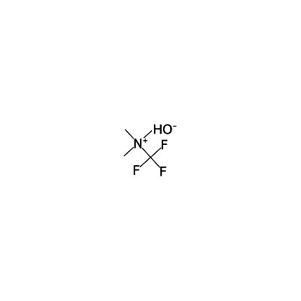 C[N+](C)(C)C(F)(F)F.[OH-]